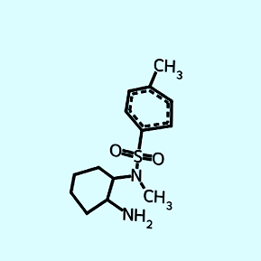 Cc1ccc(S(=O)(=O)N(C)C2CCCCC2N)cc1